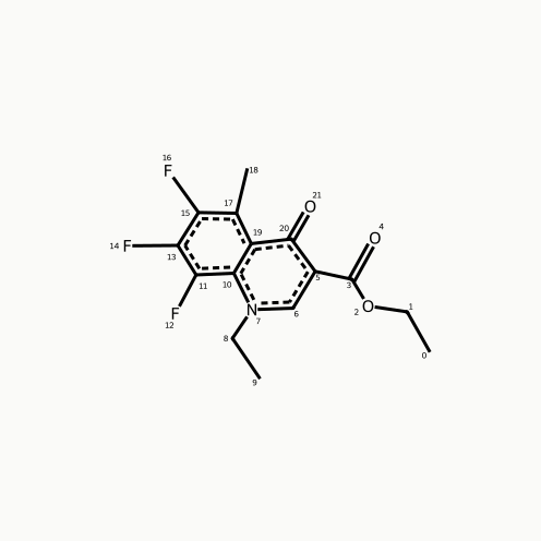 CCOC(=O)c1cn(CC)c2c(F)c(F)c(F)c(C)c2c1=O